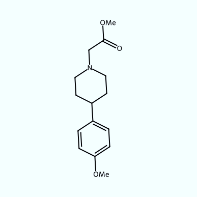 COC(=O)CN1CCC(c2ccc(OC)cc2)CC1